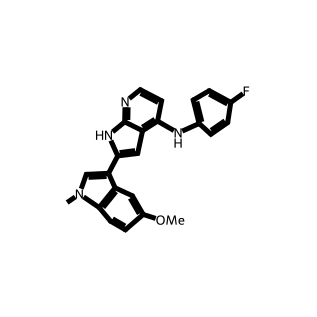 COc1ccc2c(c1)c(-c1cc3c(Nc4ccc(F)cc4)ccnc3[nH]1)cn2C